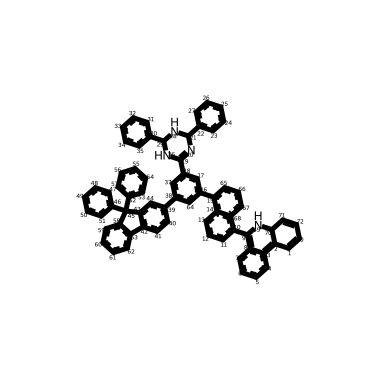 C1=CC2=c3ccccc3=C(c3cccc4c(-c5cc(C6=NC(c7ccccc7)NC(c7ccccc7)N6)cc(-c6ccc7c(c6)C(c6ccccc6)(c6ccccc6)c6ccccc6-7)c5)cccc34)NC2C=C1